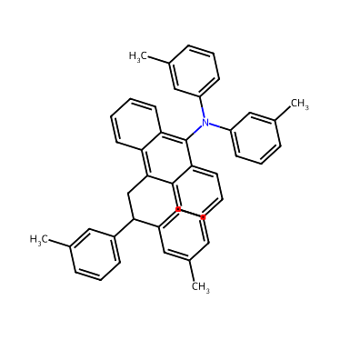 Cc1cccc(C(Cc2c3ccccc3c(N(c3cccc(C)c3)c3cccc(C)c3)c3ccccc23)c2cccc(C)c2)c1